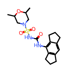 CC1CN(S(=O)(=O)NC(=O)Nc2c3c(cc4c2CCC4)CCC3)CC(C)O1